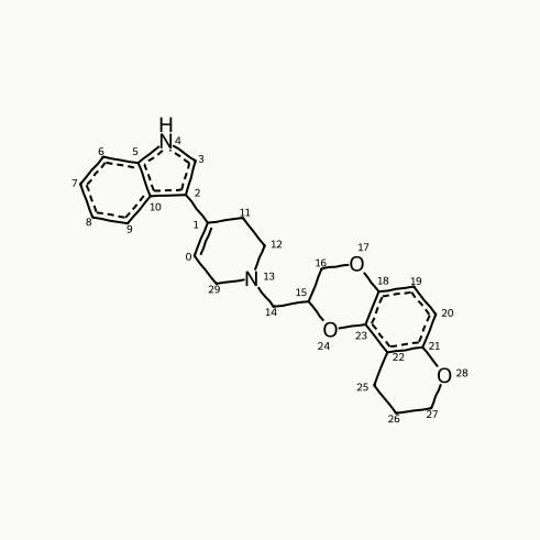 C1=C(c2c[nH]c3ccccc23)CCN(CC2COc3ccc4c(c3O2)CCCO4)C1